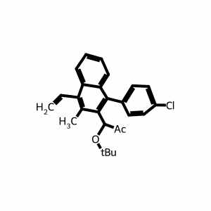 C=Cc1c(C)c(C(OC(C)(C)C)C(C)=O)c(-c2ccc(Cl)cc2)c2ccccc12